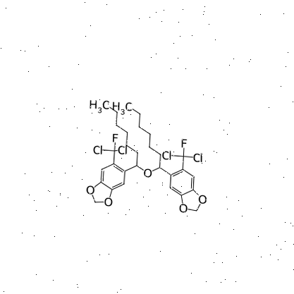 CCCCCCC(OC(CCCCCC)c1cc2c(cc1C(F)(Cl)Cl)OCO2)c1cc2c(cc1C(F)(Cl)Cl)OCO2